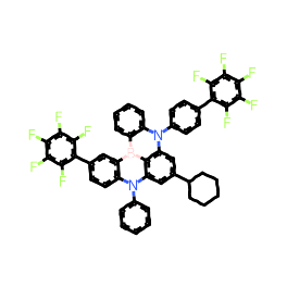 Fc1c(F)c(F)c(-c2ccc(N3c4ccccc4B4c5cc(-c6c(F)c(F)c(F)c(F)c6F)ccc5N(c5ccccc5)c5cc(C6CCCCC6)cc3c54)cc2)c(F)c1F